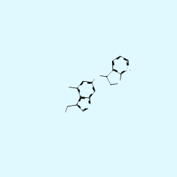 CCOC(=O)Cc1csc2cc(OC3COc4ncccc43)cc(Cl)c12